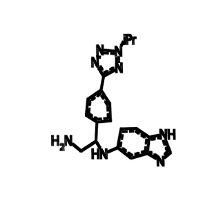 CC(C)n1nnc(-c2ccc(C(CN)Nc3ccc4[nH]cnc4c3)cc2)n1